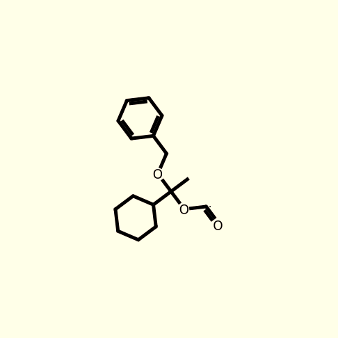 CC(O[C]=O)(OCc1ccccc1)C1CCCCC1